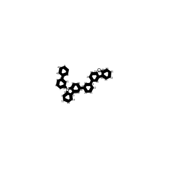 c1ccc(-c2cccc(-n3c4ccccc4c4cc(-c5cccc(-c6ccc7oc8ccccc8c7c6)c5)ccc43)c2)cc1